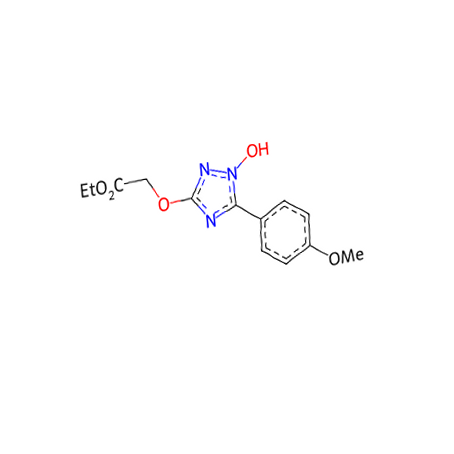 CCOC(=O)COc1nc(-c2ccc(OC)cc2)n(O)n1